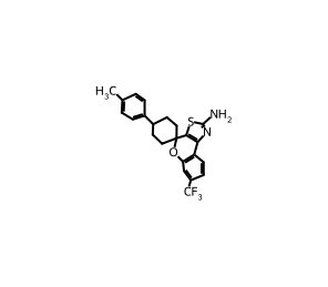 Cc1ccc(C2CCC3(CC2)Oc2cc(C(F)(F)F)ccc2-c2nc(N)sc23)cc1